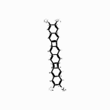 FC(F)(F)c1cc2cc3c(cc2cc1C(F)(F)F)c1cc2cc4c5cc6cc(C(F)(F)F)c(C(F)(F)F)cc6cc5c4cc2cc31